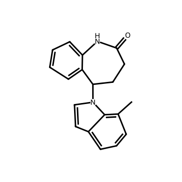 Cc1cccc2ccn(C3CCC(=O)Nc4ccccc43)c12